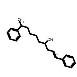 CC(CCCCC(O)C/C=C/c1ccccc1)c1ccccc1